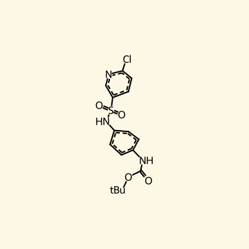 CC(C)(C)OC(=O)Nc1ccc(NS(=O)(=O)c2ccc(Cl)nc2)cc1